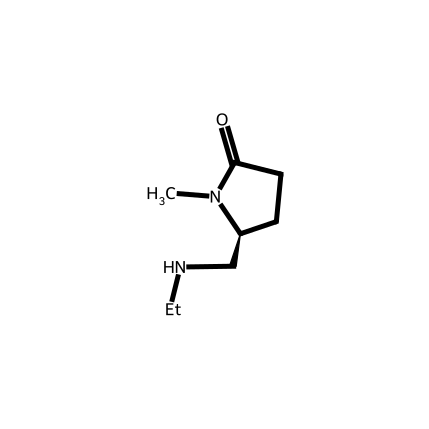 CCNC[C@@H]1CCC(=O)N1C